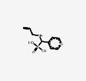 C=CCNC(c1ccncc1)P(=O)(O)O